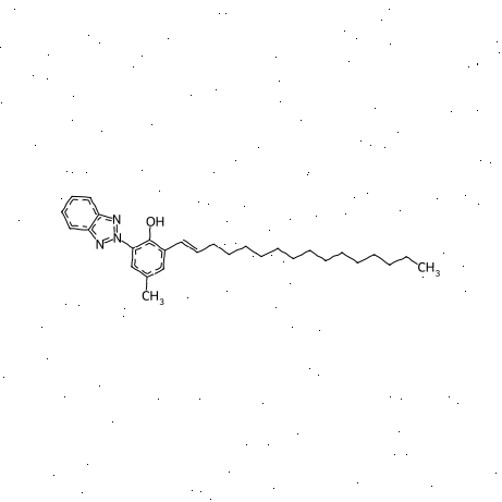 CCCCCCCCCCCCCCC=Cc1cc(C)cc(-n2nc3ccccc3n2)c1O